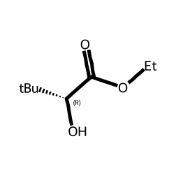 CCOC(=O)[C@H](O)C(C)(C)C